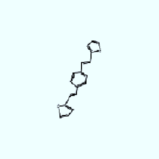 C(=C\c1cccs1)/c1ccc(/C=C/c2cccs2)cc1